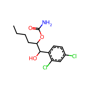 CCCCC(OC(N)=O)C(O)c1ccc(Cl)cc1Cl